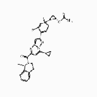 C[C@@H]1c2ccccc2CCN1C(=O)c1cc(C2CC2)n2nc(C3=CCC(C)([C@H]4C[C@@H]4OC(N)=O)C=C3F)cc2n1